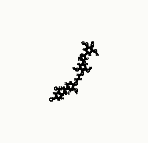 COc1cc(C2NC(=O)c3cc(Cl)ccc3N2)ccc1OCCCOc1c(OC)cc(C2=NOC(c3cc(OC)c(OC)c(OC)c3)C2)cc1OC